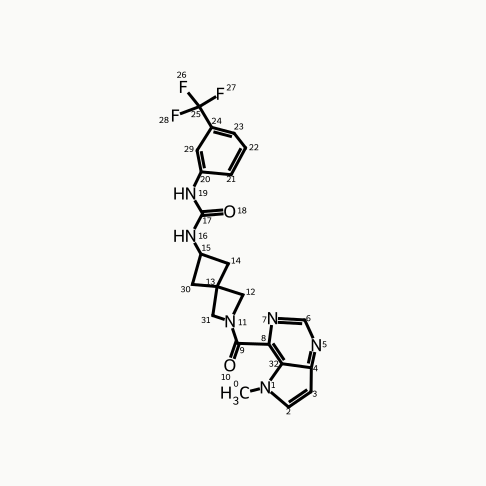 Cn1ccc2ncnc(C(=O)N3CC4(CC(NC(=O)Nc5cccc(C(F)(F)F)c5)C4)C3)c21